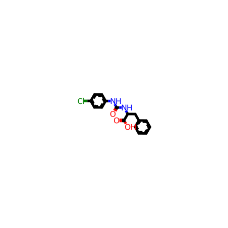 O=C(Nc1ccc(Cl)cc1)NC(Cc1ccccc1)C(=O)O